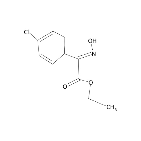 CCOC(=O)/C(=N/O)c1ccc(Cl)cc1